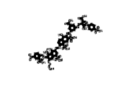 Nc1c(N=Nc2ccc3c(O)c(N=Nc4cc(/N=N/c5c(C(=O)O)nn(-c6ccc(S(=O)(=O)O)cc6)c5O)cc(C(=O)O)c4)c(S(=O)(=O)O)cc3c2S(=O)(=O)O)cc(S(=O)(=O)O)c2cc(SOOO)c(N=Nc3ccc([N+](=O)[O-])cc3S(=O)(=O)O)c(O)c12